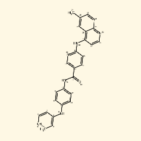 C/C=C\C(=C/C)Nc1ccc(NC(=O)c2ccc(Nc3ccnc4ccc(C)cc34)nc2)cc1